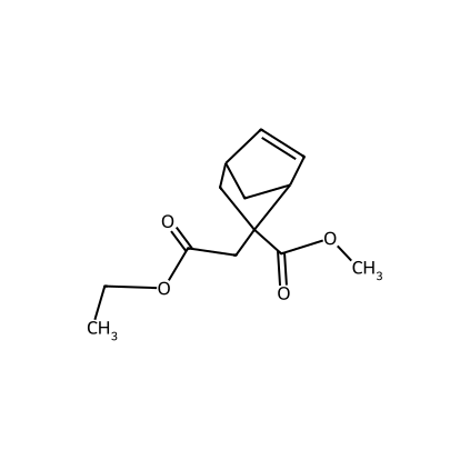 CCOC(=O)CC1(C(=O)OC)CC2C=CC1C2